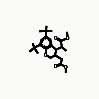 COC(=O)CC1COc2c(cc(C(C)(C)C)cc2C(C)(C)C)C1C(C)C(=O)OC